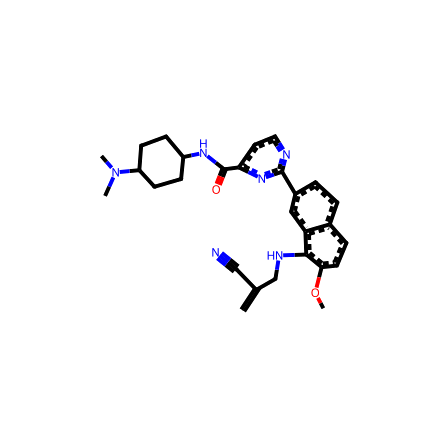 C=C(C#N)CNc1c(OC)ccc2ccc(-c3nccc(C(=O)NC4CCC(N(C)C)CC4)n3)cc12